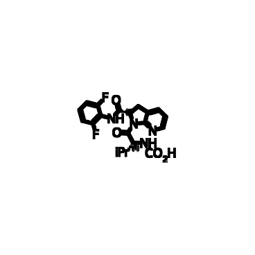 CC(C)[C@@H](NC(=O)O)C(=O)N1c2ncccc2C[C@H]1C(=O)Nc1c(F)cccc1F